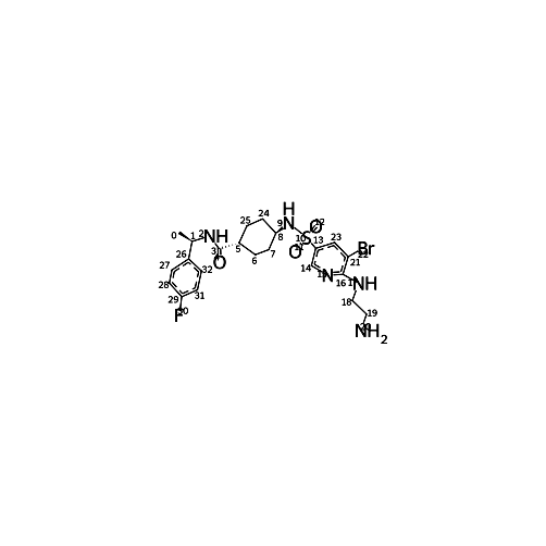 C[C@@H](NC(=O)[C@H]1CC[C@H](NS(=O)(=O)c2cnc(NCCN)c(Br)c2)CC1)c1ccc(F)cc1